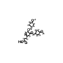 COc1ccc(COc2cnc(C=CC(=O)O)cc2OCc2ccc(OC)cc2)cc1